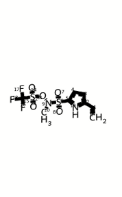 C=Cc1ccc(S(=O)(=O)N(C)OS(=O)(=O)C(F)(F)F)[nH]1